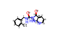 CCc1ccccc1CNC(=O)n1[nH]c2ncccc2c1=O